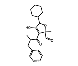 CC(Cc1ccccc1)C(=O)C1=C(O)C(C2CCCCC2)OC1(C)C=O